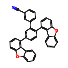 N#Cc1cccc(-c2cc(-c3cccc4oc5ccccc5c34)ccc2-c2cccc3oc4ccccc4c23)c1